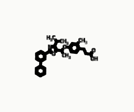 Cc1cc(OC(C)c2oc(-c3cccc(-c4ccccc4)c3)nc2C(C)C)ccc1CCC(=O)O